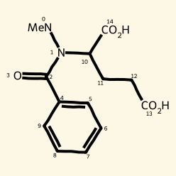 CNN(C(=O)c1ccccc1)C(CCC(=O)O)C(=O)O